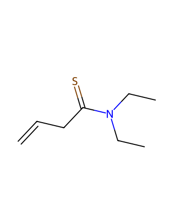 C=CCC(=S)N(CC)CC